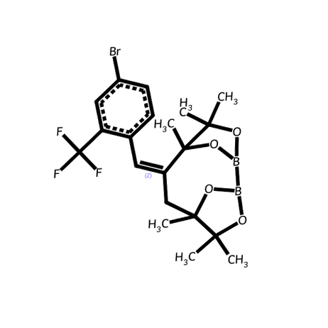 CC1(C)OB2OC1(C)C/C(=C/c1ccc(Br)cc1C(F)(F)F)C1(C)OB2OC1(C)C